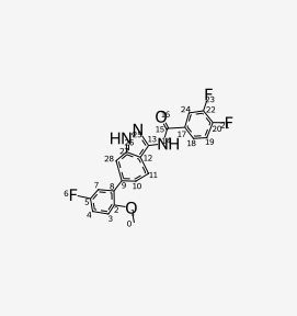 COc1ccc(F)cc1-c1ccc2c(NC(=O)c3ccc(F)c(F)c3)n[nH]c2c1